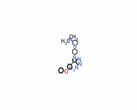 CN(C)C1CCCN(C2CCC(n3cc(-c4ccc(Oc5ccccc5)cc4)c4c(N)ncnc43)CC2)C1